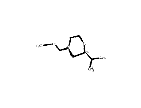 COCN1CCO[C@@H](C(C)C)C1